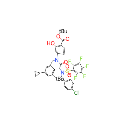 CC(C)(C)OC(=O)c1ccc(N(Cc2cc(C3CC3)cc(C(C)(C)C)c2)C(=O)CN(Cc2ccc(Cl)cc2)S(=O)(=O)c2c(F)c(F)c(F)c(F)c2F)cc1O